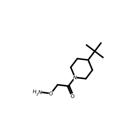 CC(C)(C)C1CCN(C(=O)CON)CC1